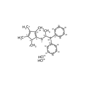 CC1=C(C)C(C)[C]([Ti][CH](C)P(c2ccccc2)c2ccccc2)=C1C.Cl.Cl